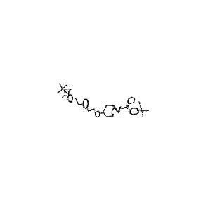 CC(C)(C)OC(=O)N1CCC(OCCOCCO[Si](C)(C)C(C)(C)C)CC1